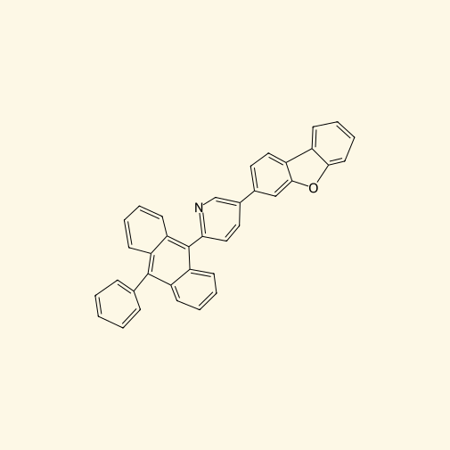 c1ccc(-c2c3ccccc3c(-c3ccc(-c4ccc5c(c4)oc4ccccc45)cn3)c3ccccc23)cc1